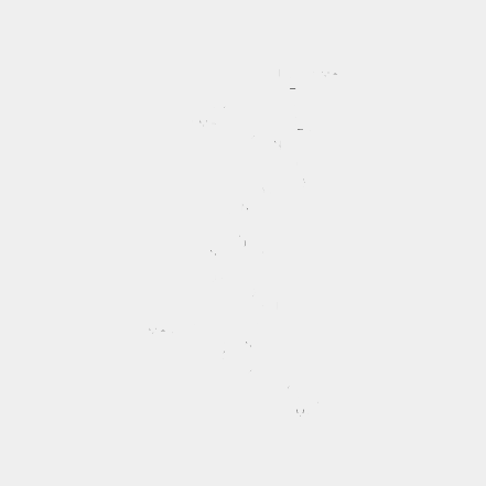 CSCC(C)C(=O)OCCOC(=O)CCN(CCSCC(C)C(=O)OCCOC(=O)CCN(C)CCCN(C)CCCN(C)CCC(=O)OCCOC(=O)C(C)CSCCN(CCC(=O)OCCOC(=O)C(C)CSC)CCC(=O)OCCOC(O)C(C)CSC)CCC(=O)OCCOC(=O)C(C)CSC